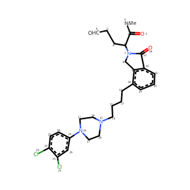 CNC(=O)C(CCC=O)N1Cc2c(CCCCN3CCN(c4ccc(Cl)c(Cl)c4)CC3)cccc2C1=O